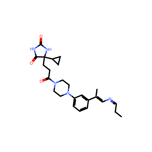 CC/C=N\C=C(/C)c1cccc(N2CCN(C(=O)CCC3(C4CC4)NC(=O)NC3=O)CC2)c1